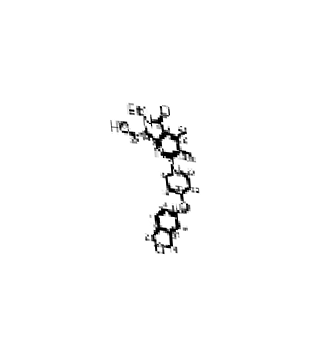 CCN1C(=O)c2c(nc(N3CCC(Oc4ccc5c(c4)COC5)CC3)c(C)c2C)[C@@H]1CO